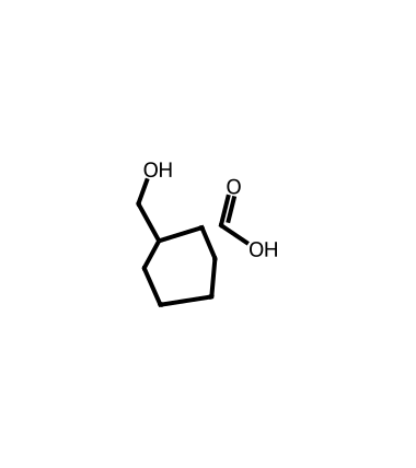 O=CO.OCC1CCCCC1